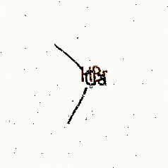 Br.[CH3][Ga][CH3]